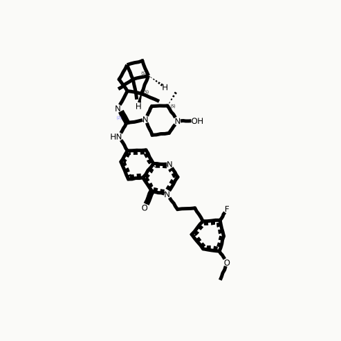 COc1ccc(CCn2cnc3cc(N/C(=N/C4CC5C[C@@H]([C@@H]4C)C5(C)C)N4CCN(O)[C@@H](C)C4)ccc3c2=O)c(F)c1